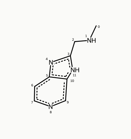 CNCc1nc2ccncc2[nH]1